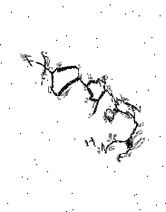 Cc1cc(-c2ccc(C(F)(F)F)cc2)cnc1-n1cnn(C/C(=C/F)CN)c1=O